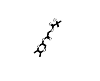 CCC(C)(C)C(=O)OCC(=O)OC1COC(C)C(C)O1